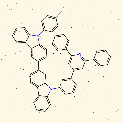 Cc1ccc(-n2c3ccccc3c3cc(-c4ccc5c6ccccc6n(-c6cccc(-c7cc(-c8ccccc8)nc(-c8ccccc8)c7)c6)c5c4)ccc32)cc1